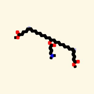 COC(=O)CCC/C=C\CCCCCCCCC(CCCCCCCC/C=C\CCCC(=O)OC)OC(=O)CCCN(C)C